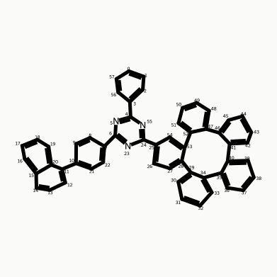 c1ccc(-c2nc(-c3ccc(-c4cccc5ccccc45)cc3)nc(-c3ccc4c5ccccc5c5ccccc5c5ccccc5c5ccccc5c4c3)n2)cc1